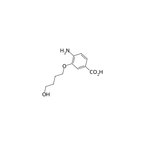 Nc1ccc(C(=O)O)cc1OCCCCO